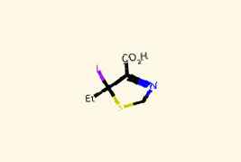 CCC1(I)SCN=C1C(=O)O